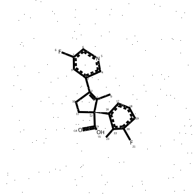 CC1=C(c2cncc(F)c2)CC[C@]1(C(=O)O)c1cccc(F)c1C